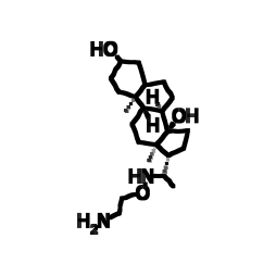 CC(NOCCN)[C@H]1CC[C@@]2(O)[C@@H]3CCC4CC(O)CC[C@]4(C)[C@H]3CC[C@]12C